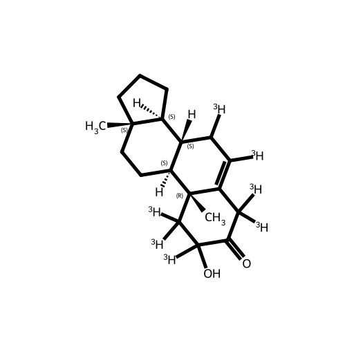 [3H]C1=C2C([3H])([3H])C(=O)C([3H])(O)C([3H])([3H])[C@]2(C)[C@H]2CC[C@]3(C)CCC[C@H]3[C@@H]2C1[3H]